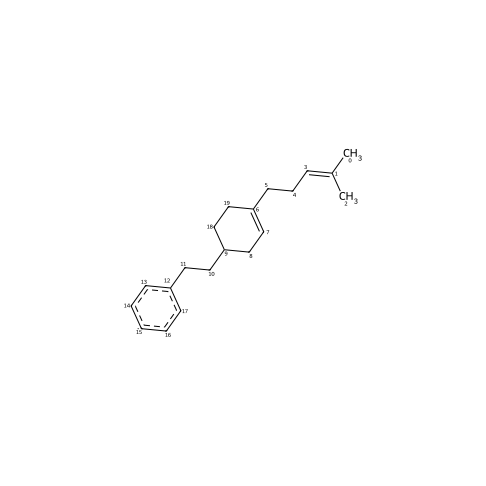 CC(C)=CCCC1=CCC(CCc2cc[c]cc2)CC1